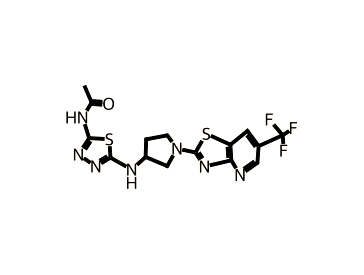 CC(=O)Nc1nnc(NC2CCN(c3nc4ncc(C(F)(F)F)cc4s3)C2)s1